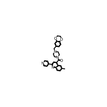 Cc1ccc2nc(-c3ccncc3)cc(C(=O)N3CCN(Cc4ccc5c(c4)OCCO5)CC3)c2c1